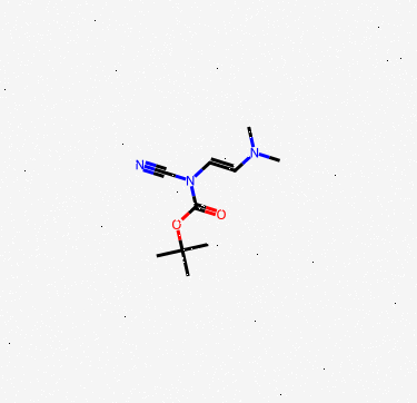 CN(C)/C=C/N(C#N)C(=O)OC(C)(C)C